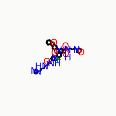 O=C(CNCCCn1ccnc1)N[C@@H]1CCN(c2c(F)cc3c(=O)c(C(=O)NCCCN4CCOCC4)cn4c3c2Oc2cc3c(cc2-4)oc2ccccc23)C1